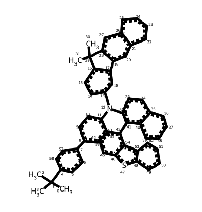 CC(C)(C)c1ccc(-c2ccc(N(c3ccc4c(c3)-c3cc5ccccc5cc3C4(C)C)c3ccc4ccccc4c3-c3cccc4sc5ccccc5c34)cc2)cc1